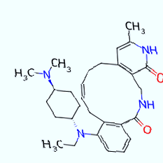 CCN(c1cccc2c1CC=CCCc1cc(C)[nH]c(=O)c1CNC2=O)[C@H]1CC[C@H](N(C)C)CC1